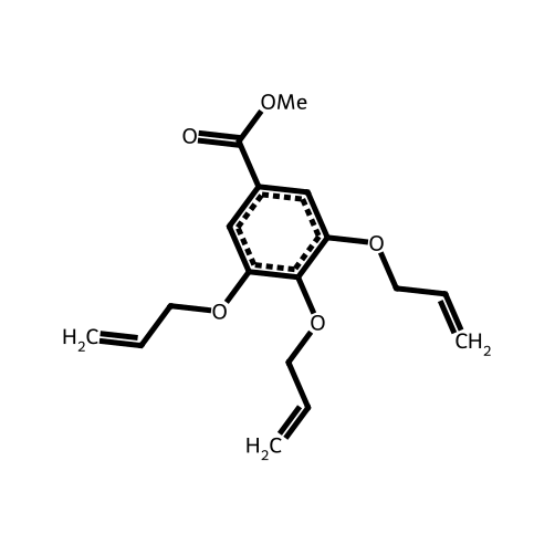 C=CCOc1cc(C(=O)OC)cc(OCC=C)c1OCC=C